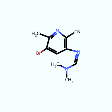 Cc1nc(C#N)c(/N=C\N(C)C)cc1Br